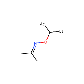 CCC(ON=C(C)C)C(C)=O